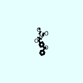 COCCN(CCOC)C(C)(C)C(=O)c1ccc(C(=O)c2ccccc2)cc1